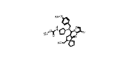 COc1ccc(CN(c2c3c(nc4c(Br)cnn24)C2(CCCC2)C(CC#N)C3)[C@H]2CC[C@H](NC(=O)OC(C)(C)C)C2)cc1